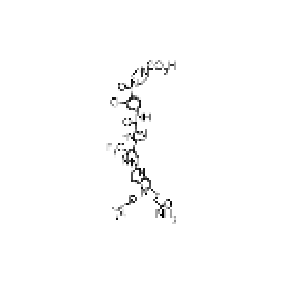 Cn1c(-c2cn(-c3ccc4c(cc(CCC(N)=O)n4COCC[Si](C)(C)C)n3)nc2C(F)(F)F)cnc1C(=O)Nc1ccc(C(=O)N2CCN(C(=O)O)CC2)c(Cl)c1